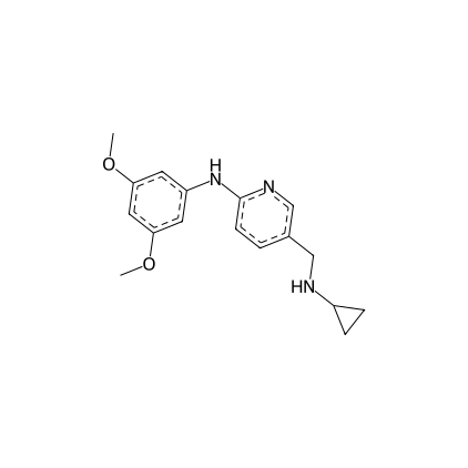 COc1cc(Nc2ccc(CNC3CC3)cn2)cc(OC)c1